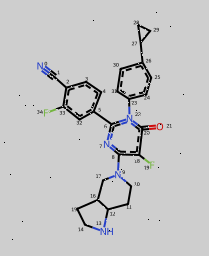 N#Cc1ccc(-c2nc(N3CCC4NCCC4C3)c(F)c(=O)n2-c2ccc(C3CC3)cc2)cc1F